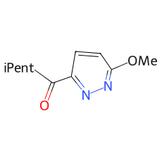 CCCC(C)C(=O)c1ccc(OC)nn1